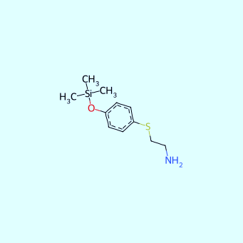 C[Si](C)(C)Oc1ccc(SCCN)cc1